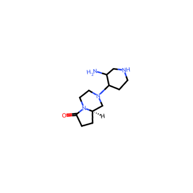 NC1CNCCC1N1CCN2C(=O)CC[C@@H]2C1